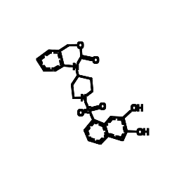 O=C1OCc2ccccc2N1C1CCN(S(=O)(=O)c2cccc3cc(O)c(O)cc23)CC1